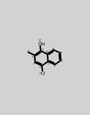 Cc1cc(Cl)c2ccccc2c1O